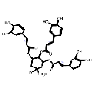 O=C(/C=C/c1ccc(O)c(O)c1)OC1CC(O)(C(=O)O)CC(OC(=O)/C=C/c2ccc(O)c(O)c2)C1OC(=O)/C=C/c1ccc(O)c(O)c1